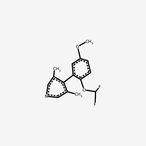 COc1ccc(OC(F)F)c(-c2c(C)cncc2C)c1